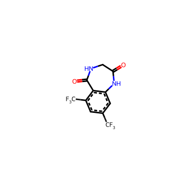 O=C1CNC(=O)c2c(cc(C(F)(F)F)cc2C(F)(F)F)N1